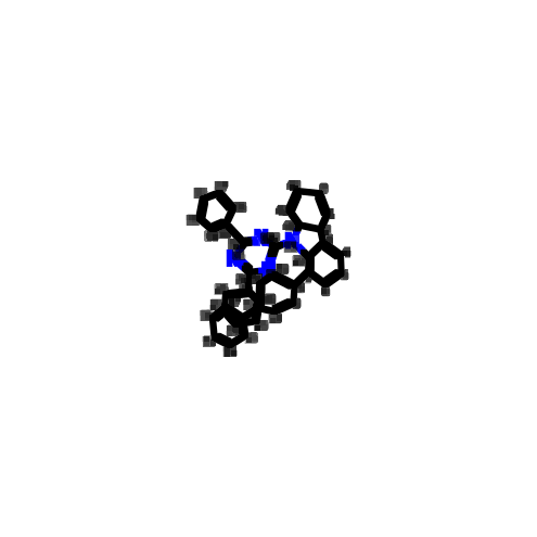 C1=CC2c3cccc(-c4ccc(-c5ccccc5)cc4)c3N(c3nc(-c4ccccc4)nc(-c4ccccc4)n3)C2C=C1